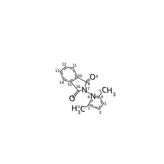 Cc1ccc(C)n1N1C(=O)c2ccccc2C1=O